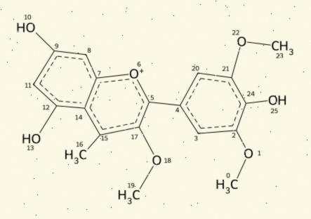 COc1cc(-c2[o+]c3cc(O)cc(O)c3c(C)c2OC)cc(OC)c1O